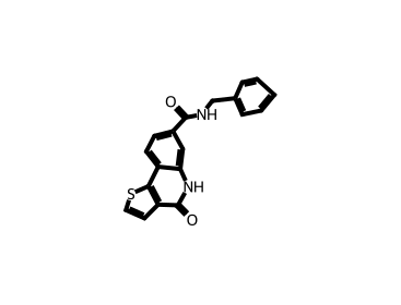 O=C(NCc1ccccc1)c1ccc2c(c1)[nH]c(=O)c1ccsc12